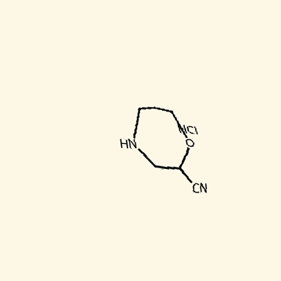 Cl.N#CC1CNCCO1